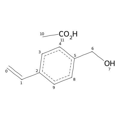 C=Cc1ccc(CO)cc1.CC(=O)O